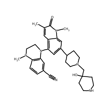 Cc1cc2c(N3CCN(C)c4ccc(C#N)cc43)cc(C3CCN(CC4(O)CCNCC4)CC3)cc2n(C)c1=O